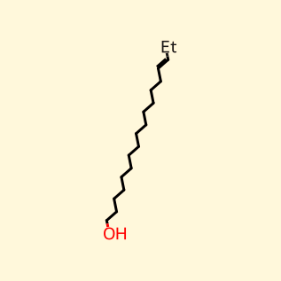 CCC=CCCCCCCCCCCCCCCO